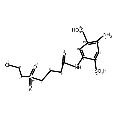 Nc1cc(S(=O)(=O)O)c(NC(=O)CCCS(=O)(=O)CCCl)cc1S(=O)(=O)O